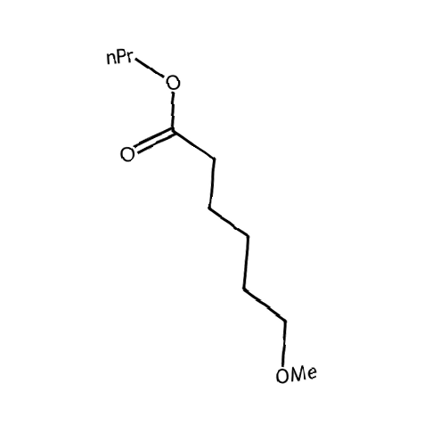 CCCOC(=O)CCCCCOC